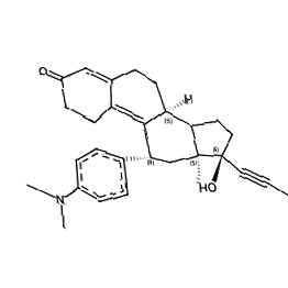 CC#C[C@@]1(O)CCC2[C@@H]3CCC4=CC(=O)CCC4=C3[C@@H](c3ccc(N(C)C)cc3)C[C@@]21C